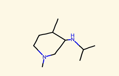 CC(C)NC1CN(C)CCC1C